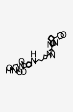 O=C1CCC(N2C(=O)c3ccc(NCCCC4CC(n5cc(-c6cnc7c(C8CCOCC8)cccc7n6)cn5)C4)cc3C2=O)C(=O)N1